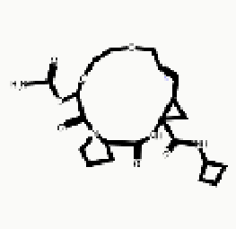 NC(=O)OC1CCCCC/C=C/C2CC2(C(=O)NC2CCC2)NC(=O)C2CCCN2C1=O